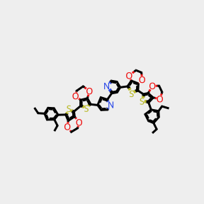 CCc1ccc(-c2sc(-c3sc(-c4ccnc(-c5cc(-c6sc(-c7sc(-c8ccc(CC)cc8CC)c8c7OCCO8)c7c6OCCO7)ccn5)c4)c4c3OCCO4)c3c2OCCO3)c(CC)c1